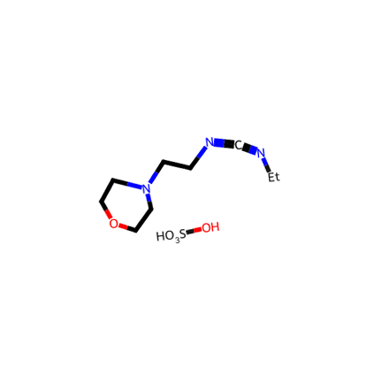 CCN=C=NCCN1CCOCC1.O=S(=O)(O)O